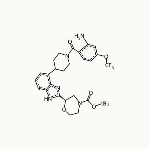 CC(C)(C)OC(=O)N1CCO[C@@H](c2nc3c(C4CCN(C(=O)c5ccc(OC(F)(F)F)cc5N)CC4)ccnc3[nH]2)C1